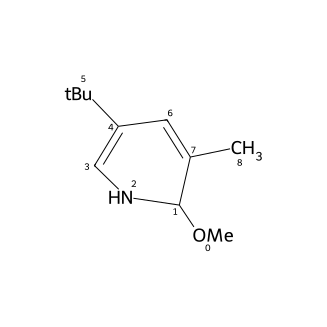 COC1NC=C(C(C)(C)C)C=C1C